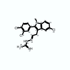 Cn1c(-c2ccc(Cl)c(Cl)c2)c(CC=NNC(=N)N)c2cc(Cl)ccc21